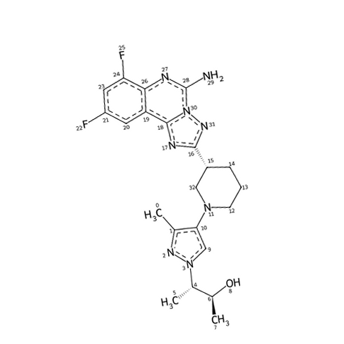 Cc1nn([C@@H](C)[C@H](C)O)cc1N1CCC[C@@H](c2nc3c4cc(F)cc(F)c4nc(N)n3n2)C1